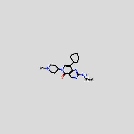 CCCC(C)Nc1ncc2c(=O)n(C3CCN(C(C)C)CC3)cc(C3CCCCC3)c2n1